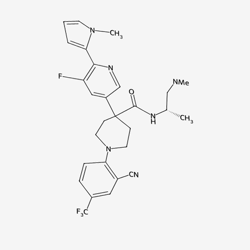 CNC[C@H](C)NC(=O)C1(c2cnc(-c3cccn3C)c(F)c2)CCN(c2ccc(C(F)(F)F)cc2C#N)CC1